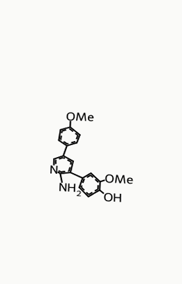 COc1ccc(-c2cnc(N)c(-c3ccc(O)c(OC)c3)c2)cc1